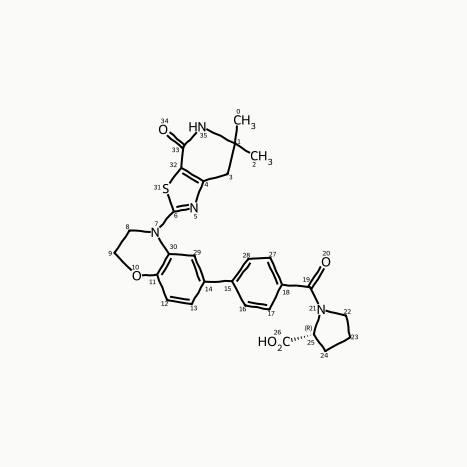 CC1(C)Cc2nc(N3CCOc4ccc(-c5ccc(C(=O)N6CCC[C@@H]6C(=O)O)cc5)cc43)sc2C(=O)N1